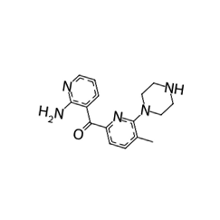 Cc1ccc(C(=O)c2cccnc2N)nc1N1CCNCC1